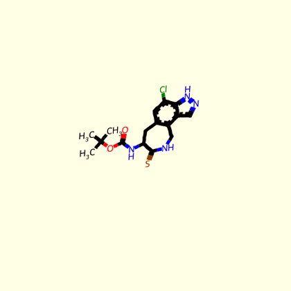 CC(C)(C)OC(=O)NC1Cc2cc(Cl)c3[nH]ncc3c2CNC1=S